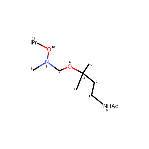 CC(=O)NCCC(C)(C)OCN(C)OC(C)C